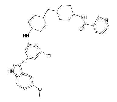 COc1cnc2[nH]cc(-c3cc(Cl)nc(NC4CCC(CC5CCC(NC(=O)c6cccnc6)CC5)CC4)c3)c2c1